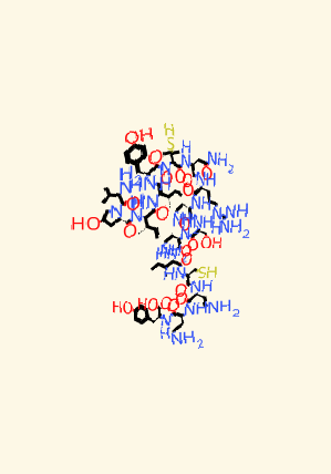 CC[C@H](C)[C@H](NC(=O)[C@@H](NC(=O)[C@@H]1C[C@@H](O)CN1C(=O)[C@@H](N)C(C)C)[C@@H](C)CC)C(=O)N[C@@H](Cc1ccc(O)cc1)C(=O)N[C@H](C(=O)N[C@@H](CC(N)=O)C(=O)N[C@@H](CCCNC(=N)N)C(=O)N[C@@H](CCN)C(=O)N[C@@H](CO)C(=O)N[C@H](CCN)C(=O)N[C@H](C(=O)N[C@@H](CS)C(=O)N[C@@H](CCN)C(=O)N[C@@H](CCN)C(=O)N[C@@H](Cc1ccc(O)cc1)C(=O)O)[C@@H](C)CC)C(C)(C)S